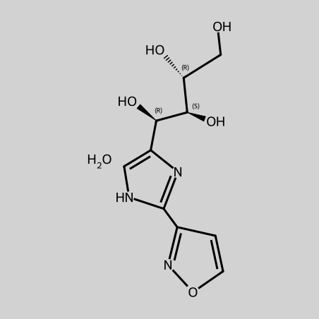 O.OC[C@@H](O)[C@@H](O)[C@H](O)c1c[nH]c(-c2ccon2)n1